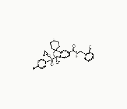 O=C(NCc1ccccc1Cl)c1ccc2c(c1)C1(CCSCC1)C(C1CC1)[N+]2([O-])S(=O)(=O)c1ccc(F)cc1